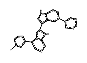 Fc1cccc(-c2cncc3[nH]c(-c4n[nH]c5cnc(-c6cncnc6)cc45)cc23)c1